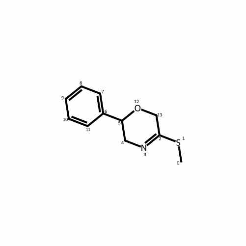 CSC1=NCC(c2ccccc2)OC1